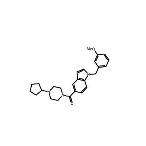 COc1cccc(Cn2ccc3cc(C(=O)N4CCN(C5CCCC5)CC4)ccc32)c1